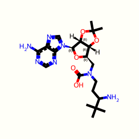 CC1(C)O[C@@H]2[C@H](O1)[C@@H](CN(CCC(N)C(C)(C)C)C(=O)O)O[C@H]2n1cnc2c(N)ncnc21